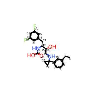 CCc1cccc(C2(NC[C@H](O)[C@H](Cc3cc(F)cc(F)c3)NC(=O)O)CC2)c1